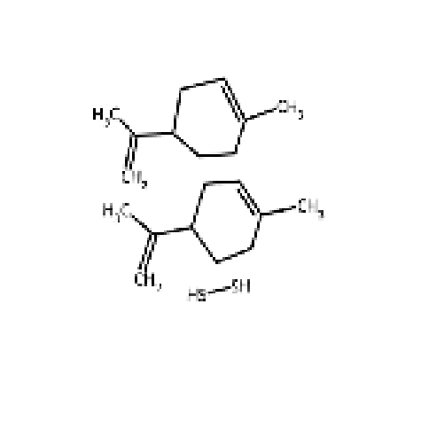 C=C(C)C1CC=C(C)CC1.C=C(C)C1CC=C(C)CC1.SS